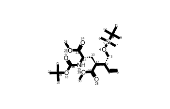 C=C[C@@H](CO[Si](C)(C)C(C)(C)C)[C@H](C[C@H](NC(=O)OC(C)(C)C)C(=O)OC)C(=O)OC